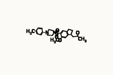 COc1cc2c(cc1S(=O)(=O)N1CCN(c3ccc(C)cc3)CC1)CCC2CC(C)=O